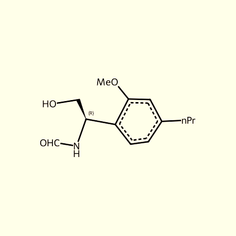 CCCc1ccc([C@H](CO)NC=O)c(OC)c1